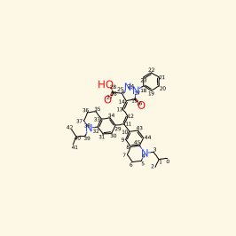 CC(C)CN1CCCc2cc(C(=C/C=C3\C(=O)N(c4ccccc4)N=C3C(=O)O)c3ccc4c(c3)CCCN4CC(C)C)ccc21